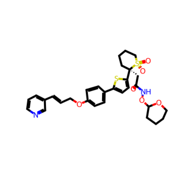 O=C(C[C@]1(c2ccc(-c3ccc(OCC=Cc4cccnc4)cc3)s2)CCCCS1(=O)=O)NOC1CCCCO1